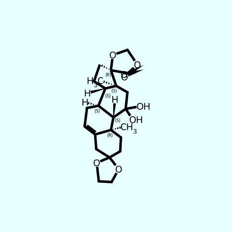 C[C@]12CCC3(CC1=CC[C@@H]1[C@@H]2C(O)(O)C[C@@]2(C)[C@H]1CC[C@@]21OCOC12COCO2)OCCO3